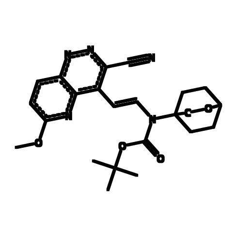 COc1ccc2nnc(C#N)c(C=CN(C(=O)OC(C)(C)C)C34CCC(CC3)OC4)c2n1